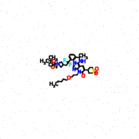 C=CCCCOCCCn1c(=O)c(C2CCS(=O)(=O)CC2)cc2c(N[C@H](C)c3cccc(C(F)(F)CC4CN(C(=O)OC(C)(C)C)C4)c3)ncnc21